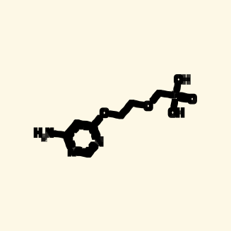 Nc1cc(OCCOCP(=O)(O)O)ncn1